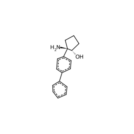 N[C@@]1(c2ccc(-c3ccccc3)cc2)CCC[C@@H]1O